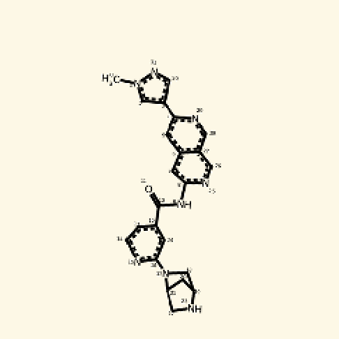 Cn1cc(-c2cc3cc(NC(=O)c4ccnc(N5CC6CC5CN6)c4)ncc3cn2)cn1